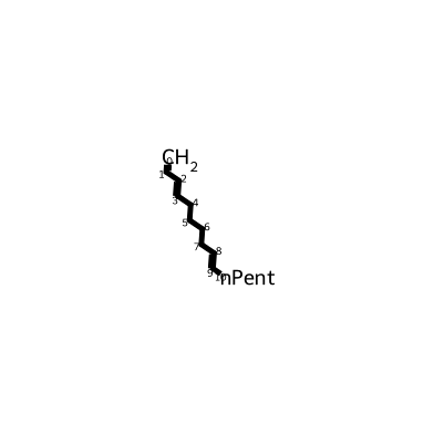 C=CC=CCCCCC=CCCCCC